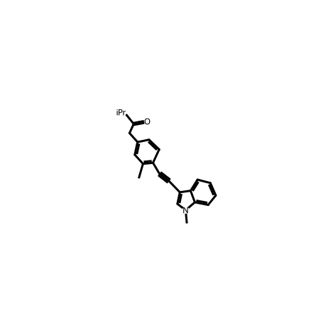 Cc1cc(CC(=O)C(C)C)ccc1C#Cc1cn(C)c2ccccc12